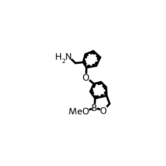 COB1OCc2ccc(Oc3ccccc3CN)cc21